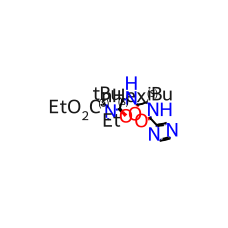 CCCCCC[C@@H](C(=O)OCC)N(CC)C(=O)[C@@H](NC(=O)C(NC(=O)c1cnccn1)[C@@H](C)CC)C(C)(C)C